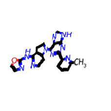 Cc1cccc(-c2nc(-n3ccc4c(Nc5ncco5)nccc43)c3nc[nH]c3n2)n1